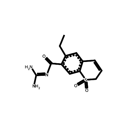 CCc1cc2c(cc1C(=O)N=C(N)N)S(=O)(=O)CC=C2